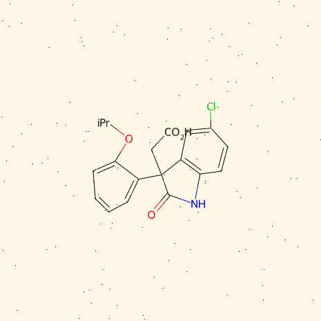 CC(C)Oc1ccccc1C1(CC(=O)O)C(=O)Nc2ccc(Cl)cc21